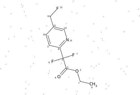 CCOC(=O)C(F)(F)c1ccc(CF)cn1